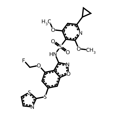 COc1cc(C2CC2)nc(OC)c1S(=O)(=O)Nc1noc2cc(Sc3nccs3)cc(OCF)c12